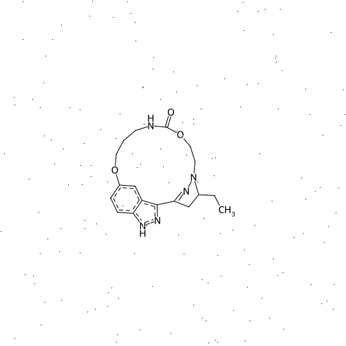 CCC1CC2=NN1CCOC(=O)NCCCOc1ccc3[nH]nc2c3c1